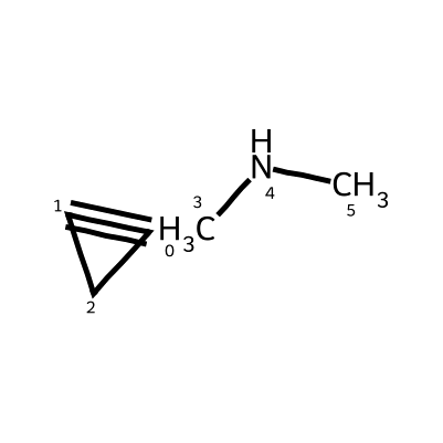 C1#CC1.CNC